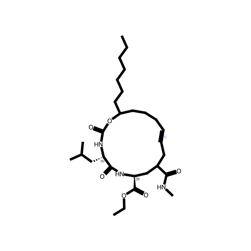 CCCCCCCC1CCC/C=C/CC(C(=O)NC)C[C@@H](C(=O)OCC)NC(=O)[C@H](CC(C)C)NC(=O)O1